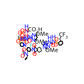 C#CCN1C(=O)COc2cc(F)c(N3C(=O)C4=C(CCCC4)C3=O)cc21.CCS(=O)(=O)c1cccnc1S(=O)(=O)NC(=O)Nc1nc(OC)cc(OC)n1.COc1nc(C)nc(NC(=O)NS(=O)(=O)c2ccccc2CCC(F)(F)F)n1.O=C(O)CNCP(=O)(O)O